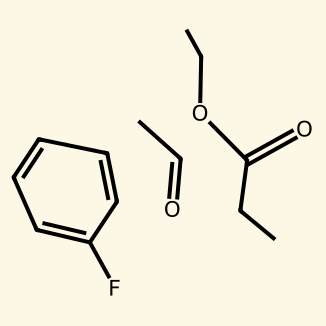 CC=O.CCOC(=O)CC.Fc1ccccc1